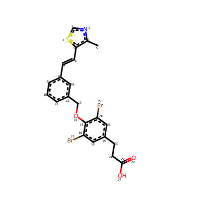 Cc1ncsc1/C=C/c1cccc(COc2c(Br)cc(CCC(=O)O)cc2Br)c1